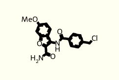 COc1ccc2c(NC(=O)c3ccc(CCl)cc3)c(C(N)=O)oc2c1